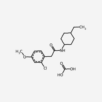 CCC1CCC(NC(=O)Cc2ccc(OC)cc2Cl)CC1.O=C(O)O